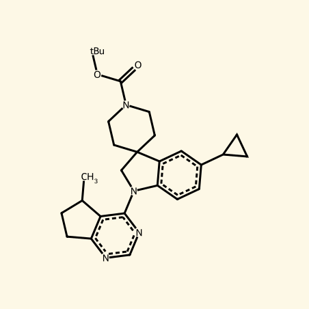 CC1CCc2ncnc(N3CC4(CCN(C(=O)OC(C)(C)C)CC4)c4cc(C5CC5)ccc43)c21